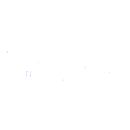 c1ccc(-c2nc(-c3cccc4c3C3(c5cc(-c6ccc7c(c6)oc6ccccc67)ccc5-4)C4CC5CC(C4)CC3C5)nc3sc4ccccc4c23)cc1